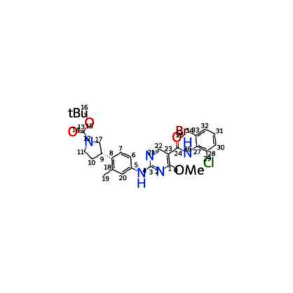 COc1nc(Nc2ccc([C@@H]3CCN(C(=O)OC(C)(C)C)C3)c(C)c2)ncc1C(=O)Nc1c(Cl)cccc1Br